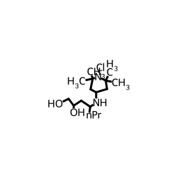 CCCC(CC(O)CO)NC1CC(C)(C)N(Cl)C(C)(C)C1